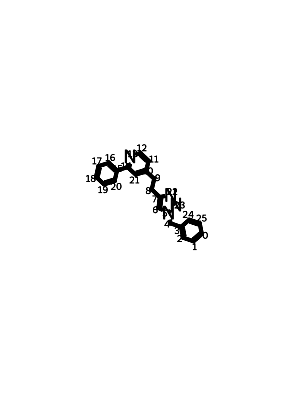 c1ccc(Cn2cc(CCc3ccnc(-c4ccccc4)c3)nn2)cc1